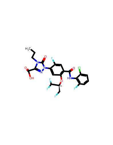 CCCn1c(C(=O)O)nn(-c2cc(O[C@@H](CF)C(F)F)c(C(=O)Nc3c(F)cccc3Cl)cc2F)c1=O